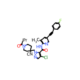 Cc1cc(C#Cc2ccc(F)cc2)cnc1NC(=O)c1c(Cl)cnn1CC1(C#N)CCN(C(=O)C(C)C)CC1